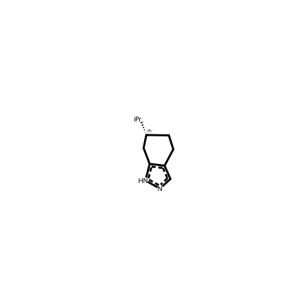 CC(C)[C@@H]1CCc2cn[nH]c2C1